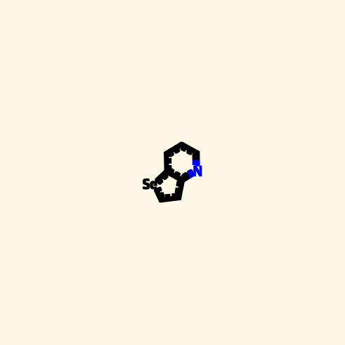 c1cnc2cc[se]c2c1